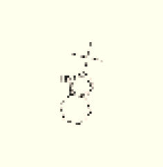 CC(C)(C)c1cc2c([nH]1)CCCC2